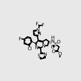 COC(=O)CS(=O)(=O)N[C@H]1CC2=C(c3ccn(C(F)F)n3)[C@H](c3ccc(F)cc3Cl)N=C(c3nccs3)N2C1